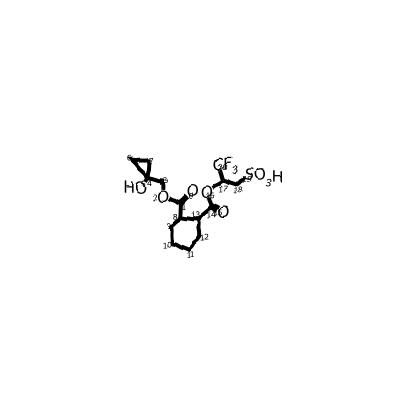 O=C(OCC1(O)CC1)C1CCCCC1C(=O)OC(CS(=O)(=O)O)C(F)(F)F